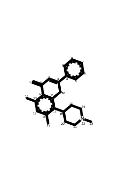 C=C1C=C(c2ccccc2)Cc2c1c(C)cc(C)c2C1CCN(C)CC1